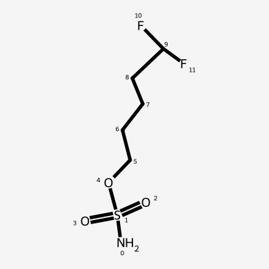 NS(=O)(=O)OCCCCC(F)F